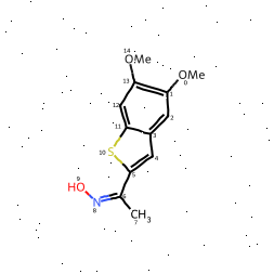 COc1cc2cc(/C(C)=N\O)sc2cc1OC